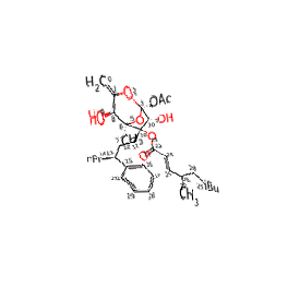 C=C1O[C@]2(OC(C)=O)O[C@](C)([C@H]1O)[C@@](CC[C@H](CCC)c1ccccc1)(OC(=O)C=CC(C)CC(C)CC)[C@H]2O